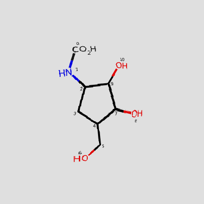 O=C(O)NC1CC(CO)C(O)C1O